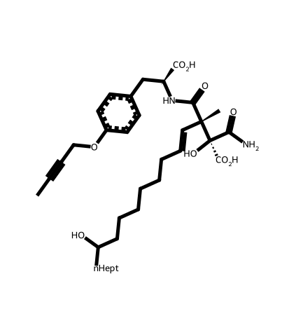 CC#CCOc1ccc(C[C@H](NC(=O)[C@@](C)(/C=C/CCCCCCC(O)CCCCCCC)[C@](O)(C(N)=O)C(=O)O)C(=O)O)cc1